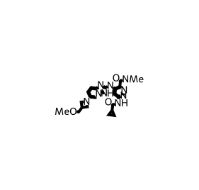 CNC(=O)c1nnc(NC(=O)C2CC2)cc1Nc1nc2ccc(N3CC(COC)C3)cn2n1